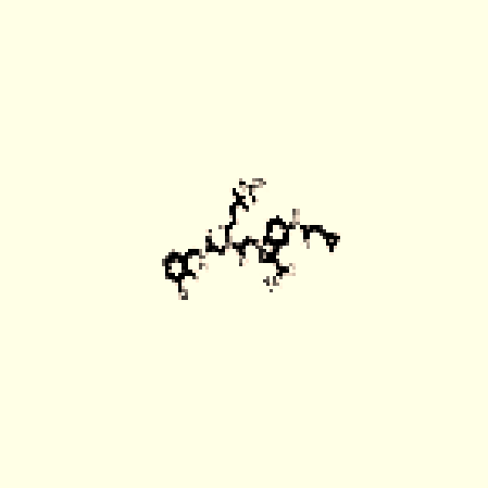 C[C@H](CCC(C)(C)[Si](C)(C)O)N(CC(=O)NCc1cccc(Cl)c1F)C(=O)Cn1nc(C(N)=O)c2cc(NC(=O)CC3CC3)ccc21